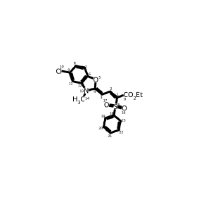 CCOC(=O)/C(=C/C=C1\Oc2ccc(Cl)cc2N1C)S(=O)(=O)c1ccccc1